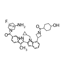 Cc1c(-c2cc3cccc(C4CN(C(=O)C5CCC(O)CC5)C4)c3n2CC2CC2)nn2cc(C(=O)N3C[C@H](N)C[C@@H](F)C3)ccc12